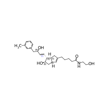 Cc1cccc(C[C@@H](O)/C=C/[C@@H]2[C@H]3CC(CCCCC(=O)NCCO)=C[C@H]3C[C@H]2O)c1